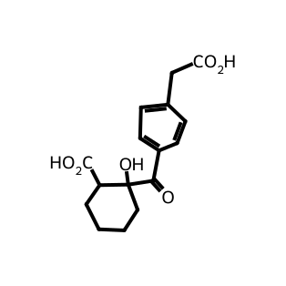 O=C(O)Cc1ccc(C(=O)C2(O)CCCCC2C(=O)O)cc1